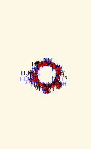 CCCC[C@H]1C(=O)N(C)[C@@H](CCCC)C(=O)N[C@@H](CCCNC(=N)N)C(=O)N[C@H](C(=O)NCC(N)=O)CSCC(=O)N[C@@H](Cc2ccccc2)C(=O)N(C)[C@@H](C)C(=O)N[C@@H](CC(N)O)C(=O)N2CCC[C@H]2C(=O)N[C@@H](Cc2cnc[nH]2)C(=O)N[C@@H](CC(C)C)C(=O)N(C)CC(=O)N[C@@H](CCc2c[nH]c3ccccc23)C(=O)N[C@@H](CO)C(=O)N[C@@H](Cc2c[nH]c3ncccc23)C(=O)N1C